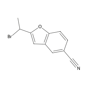 CC(Br)c1cc2cc(C#N)ccc2o1